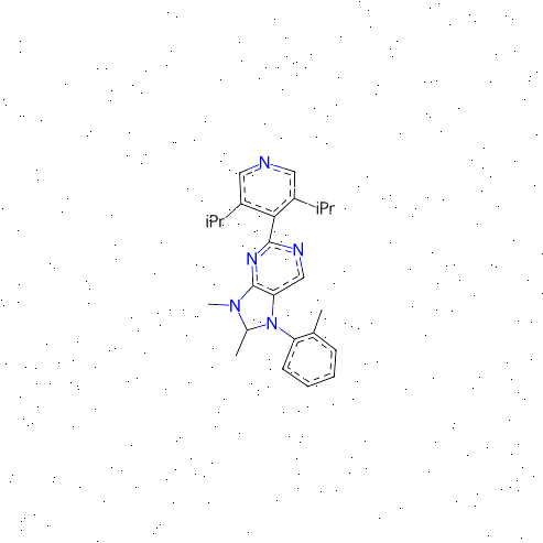 Cc1ccccc1N1c2cnc(-c3c(C(C)C)cncc3C(C)C)nc2N(C)C1C